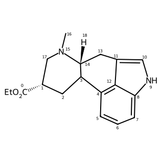 CCOC(=O)[C@H]1CC2c3cccc4[nH]cc(c34)C[C@H]2N(C)C1